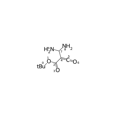 CC(C)(C)OC(=O)C(=C=O)C(N)N